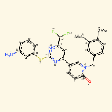 COc1ccc(Cn2cc(-c3cc(C(F)F)nc(Sc4cccc(N)c4)n3)ccc2=O)cc1OC